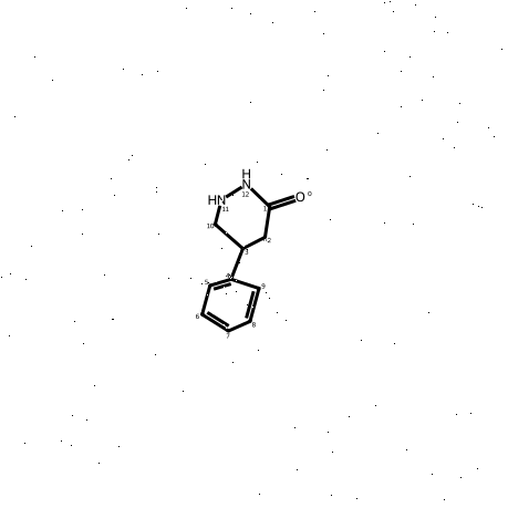 O=C1[C]C(c2ccccc2)CNN1